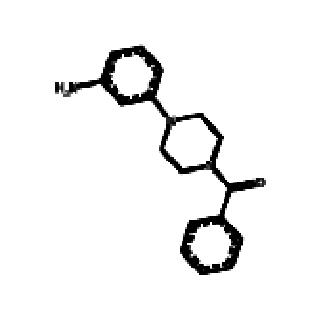 Nc1cccc(N2CCN(C(=O)c3ccccc3)CC2)c1